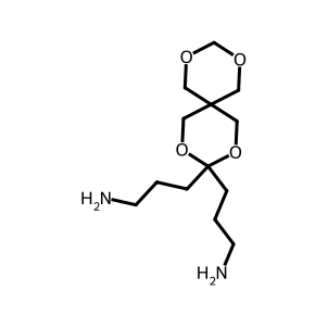 NCCCC1(CCCN)OCC2(COCOC2)CO1